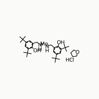 C1CCOC1.CC(C)(C)c1cc(C[NH][Mn][NH]Cc2cc(C(C)(C)C)cc(C(C)(C)C)c2O)c(O)c(C(C)(C)C)c1.Cl